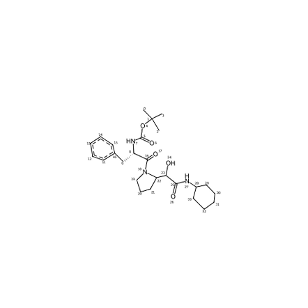 CC(C)(C)OC(=O)N[C@@H](Cc1ccccc1)C(=O)N1CCCC1C(O)C(=O)NC1CCCCC1